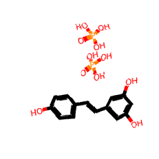 O=P(O)(O)O.O=P(O)(O)O.Oc1ccc(C=Cc2cc(O)cc(O)c2)cc1